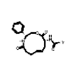 CC(C)C(=O)N[C@@H]1C/C=C/CCC(=O)N[C@H](c2ccccc2)COC1=O